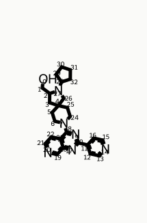 OCC1CC2(CCN(c3nc(-c4ccncc4)nc4cnccc34)CC2)CN1C1CCCC1